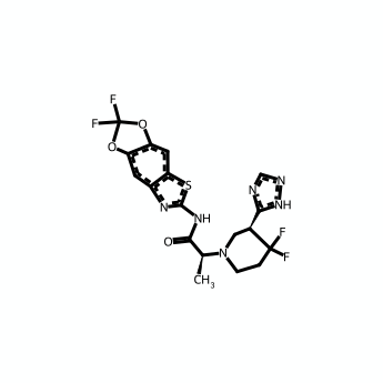 C[C@@H](C(=O)Nc1nc2cc3c(cc2s1)OC(F)(F)O3)N1CCC(F)(F)[C@H](c2ncn[nH]2)C1